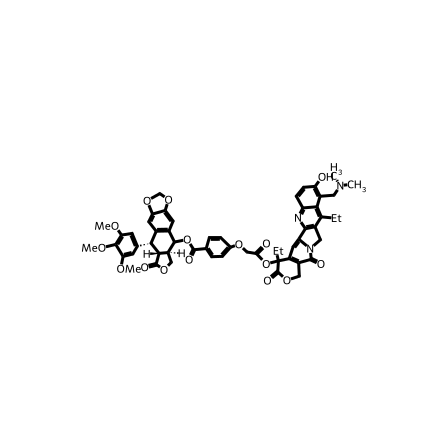 CCc1c2c(nc3ccc(O)c(CN(C)C)c13)-c1cc3c(c(=O)n1C2)COC(=O)C3(CC)OC(=O)COc1ccc(C(=O)OC2c3cc4c(cc3[C@@H](c3cc(OC)c(OC)c(OC)c3)[C@H]3C(=O)OC[C@H]23)OCO4)cc1